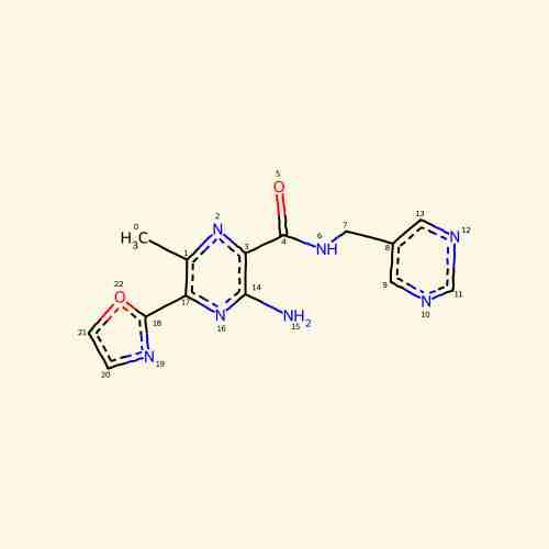 Cc1nc(C(=O)NCc2cncnc2)c(N)nc1-c1ncco1